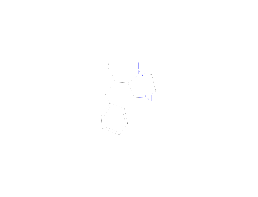 CCC(Cc1ccccc1)C1CNCCN1